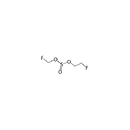 O=S(OCF)OCCF